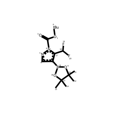 CC(C)(C)OC(=O)n1ncc(B2OC(C)(C)C(C)(C)O2)c1C(F)F